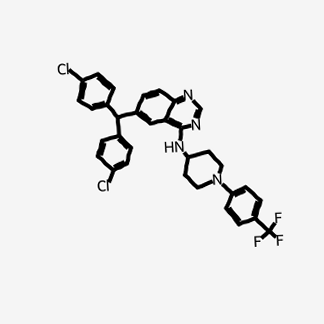 FC(F)(F)c1ccc(N2CCC(Nc3ncnc4ccc(C(c5ccc(Cl)cc5)c5ccc(Cl)cc5)cc34)CC2)cc1